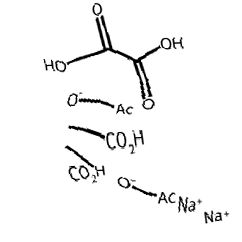 CC(=O)O.CC(=O)O.CC(=O)[O-].CC(=O)[O-].O=C(O)C(=O)O.[Na+].[Na+]